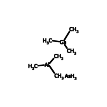 [AsH3].[CH3][Al]([CH3])[CH3].[CH3][Ga]([CH3])[CH3]